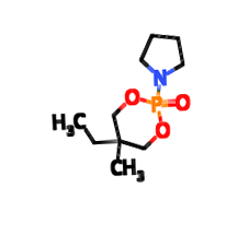 CCC1(C)COP(=O)(N2CCCC2)OC1